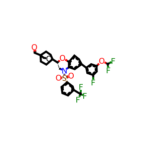 O=CC12CCC([C@H]3CN(S(=O)(=O)c4cccc(C(F)(F)F)c4)c4cc(-c5cc(F)cc(OC(F)F)c5)ccc4O3)(CC1)CC2